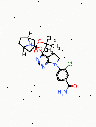 CC(C)(C)OC(=O)N1[C@H]2CC[C@H]1CC(Oc1ncnc3c1CCN3c1ccc(C(N)=O)cc1Cl)C2